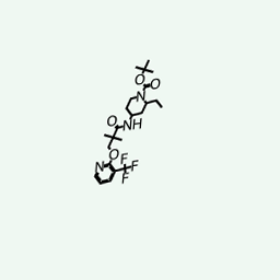 CCC1CC(NC(=O)C(C)(C)COc2ncccc2C(F)(F)F)CCN1C(=O)OC(C)(C)C